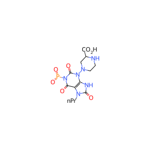 CCCn1c(=O)[nH]c2c1c(=O)n(P(=O)=O)c(=O)n2N1CCNC(C(=O)O)C1